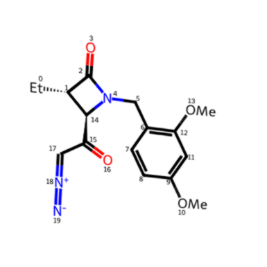 CC[C@@H]1C(=O)N(Cc2ccc(OC)cc2OC)[C@H]1C(=O)C=[N+]=[N-]